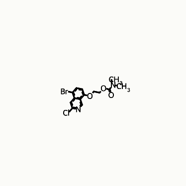 CN(C)C(=O)OCCOc1ccc(Br)c2cc(Cl)ncc12